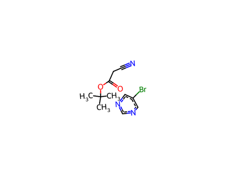 Brc1cncnc1.CC(C)(C)OC(=O)CC#N